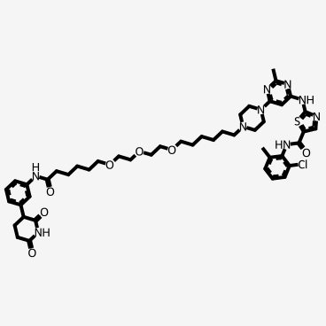 Cc1nc(Nc2ncc(C(=O)Nc3c(C)cccc3Cl)s2)cc(N2CCN(CCCCCCOCCOCCOCCCCCC(=O)Nc3cccc(C4CCC(=O)NC4=O)c3)CC2)n1